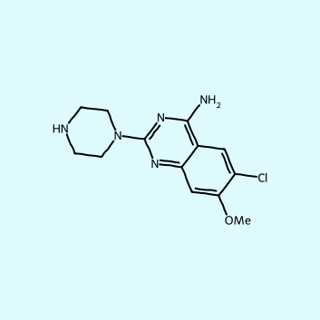 COc1cc2nc(N3CCNCC3)nc(N)c2cc1Cl